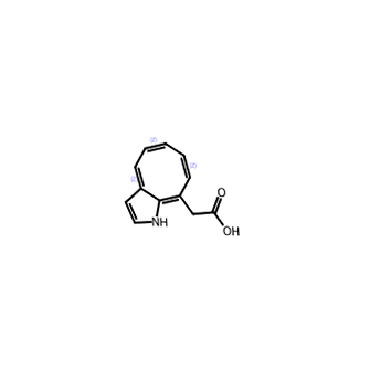 O=C(O)CC1=c2[nH]cc/c2=C/C=C\C=C/1